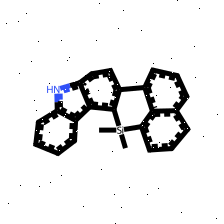 C[Si]1(C)c2cccc3cccc(c23)-c2ccc3[nH]c4ccccc4c3c21